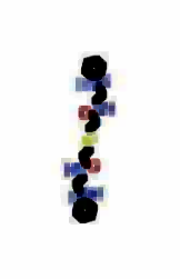 O=C(CCSSCCC(=O)NCCc1nc2ccccc2[nH]1)NCCc1nc2ccccc2[nH]1